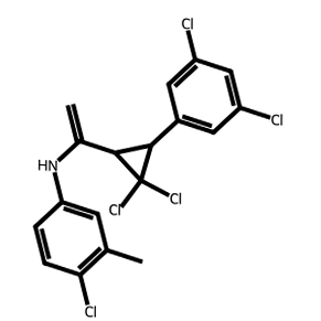 C=C(Nc1ccc(Cl)c(C)c1)C1C(c2cc(Cl)cc(Cl)c2)C1(Cl)Cl